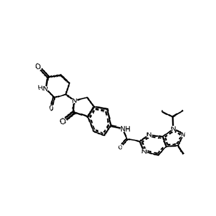 Cc1nn(C(C)C)c2nc(C(=O)Nc3ccc4c(c3)CN(C3CCC(=O)NC3=O)C4=O)ncc12